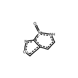 O=[n+]1[nH]ccc2conc21